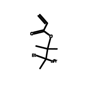 C=CC(=O)OC(C)(C)C(C)(CC)CCC